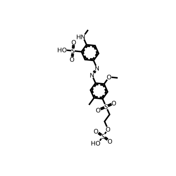 CNc1ccc(/N=N/c2cc(C)c(S(=O)(=O)CCOS(=O)(=O)O)cc2OC)cc1S(=O)(=O)O